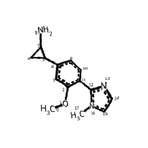 COc1cc(C2CC2N)ccc1-c1nccn1C